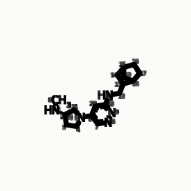 CN[C@H]1CCN(c2cnnc(NCC3CC4CCC3C4)c2)C1